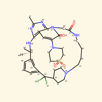 Cc1nc2c3cc(N4CCS(=O)(=O)CC4)c(=O)n(c3n1)CC(=O)NCCCCN1CCC(CC1)C(F)(F)c1cccc(c1)[C@@H](C)N2